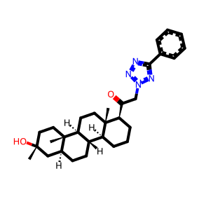 C[C@@]1(O)CC[C@@]2(C)[C@@H](CC[C@@H]3[C@@H]2CC[C@]2(C)[C@@H](C(=O)Cn4nnc(-c5ccccc5)n4)CCC[C@@H]32)C1